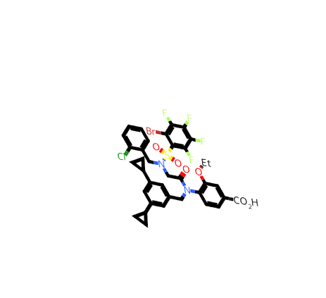 CCOc1cc(C(=O)O)ccc1N(Cc1cc(C2CC2)cc(C2CC2)c1)C(=O)CN(Cc1ccccc1Cl)S(=O)(=O)c1c(F)c(F)c(F)c(F)c1Br